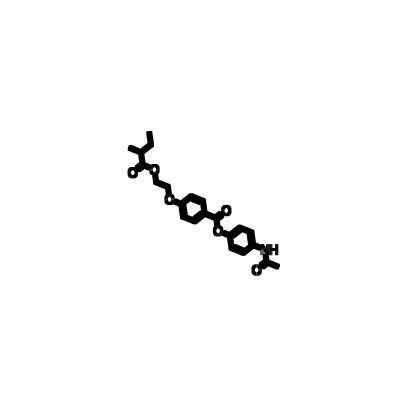 CCC(C)C(=O)OCCOc1ccc(C(=O)Oc2ccc(NC(C)=O)cc2)cc1